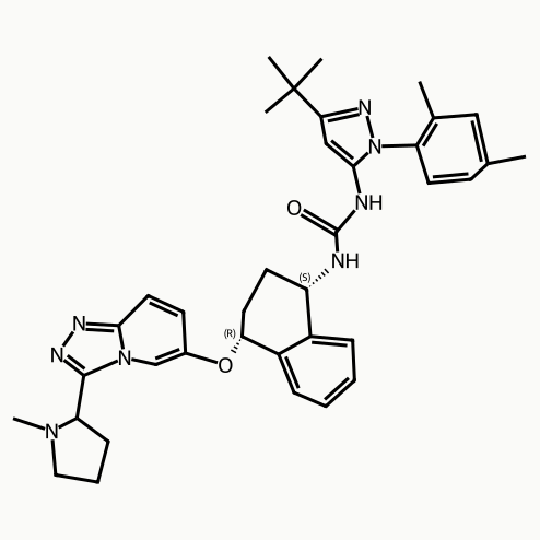 Cc1ccc(-n2nc(C(C)(C)C)cc2NC(=O)N[C@H]2CC[C@@H](Oc3ccc4nnc(C5CCCN5C)n4c3)c3ccccc32)c(C)c1